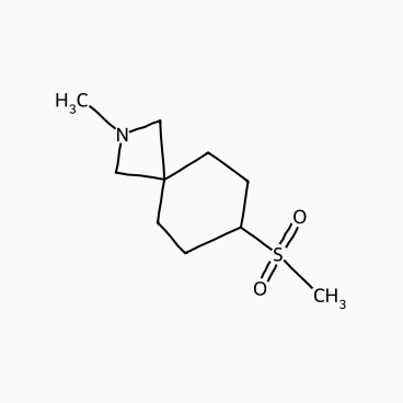 CN1CC2(CCC(S(C)(=O)=O)CC2)C1